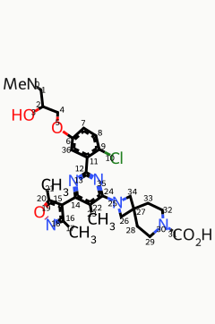 CNCC(O)COc1ccc(Cl)c(-c2nc(-c3c(C)noc3C)c(C)c(N3CC4(CCN(C(=O)O)CC4)C3)n2)c1